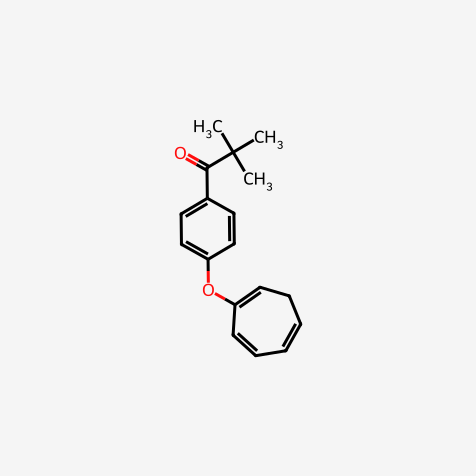 CC(C)(C)C(=O)c1ccc(OC2=CCC=CC=C2)cc1